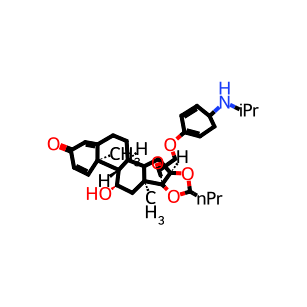 CCCC1O[C@@H]2CC3[C@@H]4CCC5=CC(=O)C=C[C@]5(C)[C@H]4[C@@H](O)C[C@]3(C)[C@]2(C(=O)COC2=CCC(NC(C)C)C=C2)O1